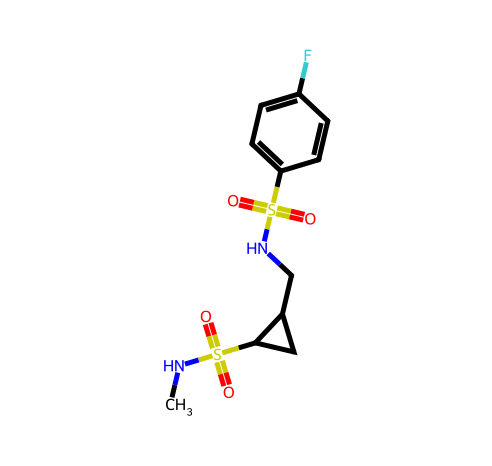 CNS(=O)(=O)C1CC1CNS(=O)(=O)c1ccc(F)cc1